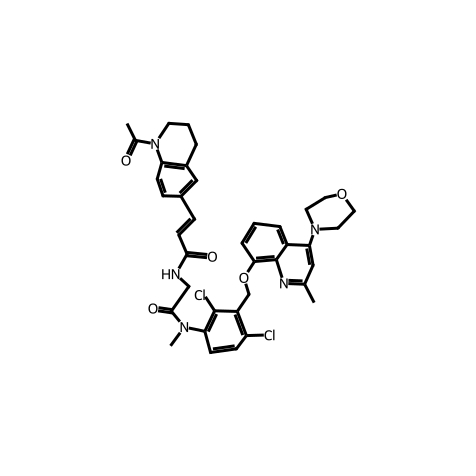 CC(=O)N1CCCc2cc(C=CC(=O)NCC(=O)N(C)c3ccc(Cl)c(COc4cccc5c(N6CCOCC6)cc(C)nc45)c3Cl)ccc21